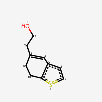 OCCC1=Cc2ccsc2CC1